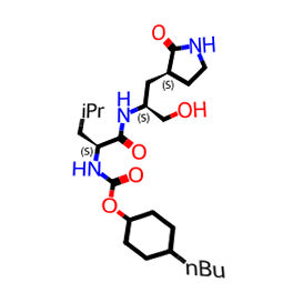 CCCCC1CCC(OC(=O)N[C@@H](CC(C)C)C(=O)N[C@H](CO)C[C@@H]2CCNC2=O)CC1